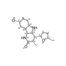 Cc1ccc(-c2c(C)c(=O)[nH]c3c2[nH]c2ccc(Cl)cc23)o1